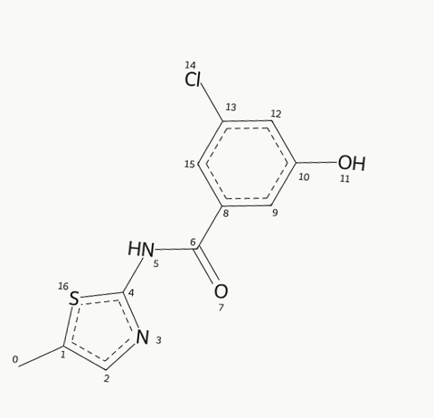 Cc1cnc(NC(=O)c2cc(O)cc(Cl)c2)s1